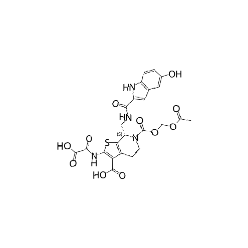 CC(=O)OCOC(=O)N1CCc2c(sc(NC(=O)C(=O)O)c2C(=O)O)[C@@H]1CNC(=O)c1cc2cc(O)ccc2[nH]1